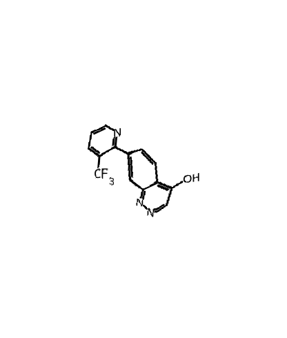 Oc1cnnc2cc(-c3ncccc3C(F)(F)F)ccc12